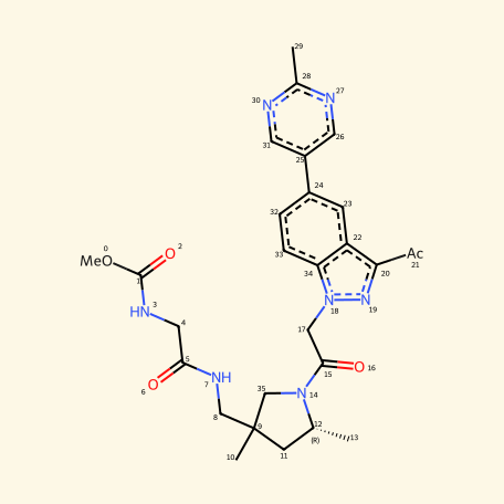 COC(=O)NCC(=O)NCC1(C)C[C@@H](C)N(C(=O)Cn2nc(C(C)=O)c3cc(-c4cnc(C)nc4)ccc32)C1